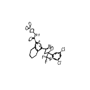 O=C(NC1CS(=O)(=O)C1)c1sc(C2=NOC(c3cc(Cl)cc(Cl)c3)(C(F)(F)F)C2)c2c1CCCC2